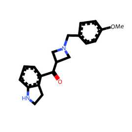 COc1ccc(CN2CC(C(=O)c3cccc4c3CCN4)C2)cc1